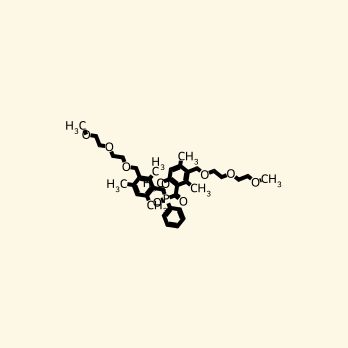 COCCOCCOCc1c(C)cc(C)c(C(=O)P(=O)(C(=O)c2c(C)cc(C)c(COCCOCCOC)c2C)c2ccccc2)c1C